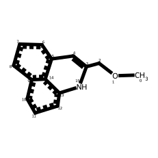 COCC1=Cc2cccc3cccc(c23)N1